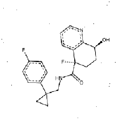 O=C(NCC1(c2ccc(F)cc2)CC1)[C@]1(F)CC[C@H](O)c2ncccc21